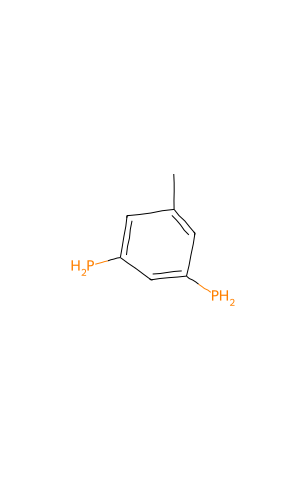 Cc1cc(P)cc(P)c1